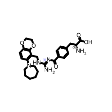 N/C(=N\C(=O)c1ccc(C[C@H](N)C(=O)O)cc1)NCc1c(N2CCCCCC2)ccc2c1OCCO2